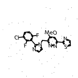 COc1cc(-c2nccs2)nnc1Cn1ccnc1-c1c(F)ccc(Cl)c1F